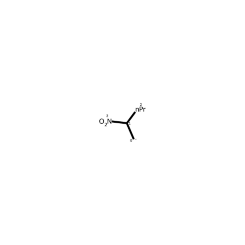 [CH2]C(CCC)[N+](=O)[O-]